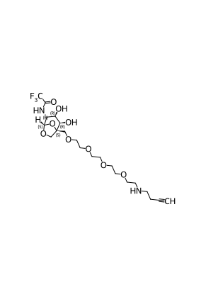 C#CCCNCCOCCOCCOCCOC[C@@]12CO[C@@H](O1)[C@H](NC(=O)C(F)(F)F)[C@@H](O)[C@H]2O